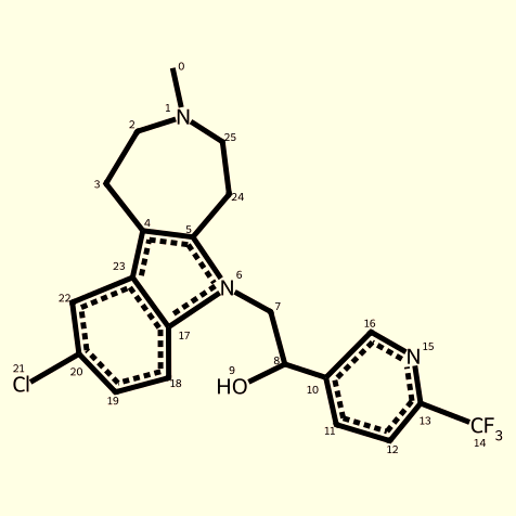 CN1CCc2c(n(CC(O)c3ccc(C(F)(F)F)nc3)c3ccc(Cl)cc23)CC1